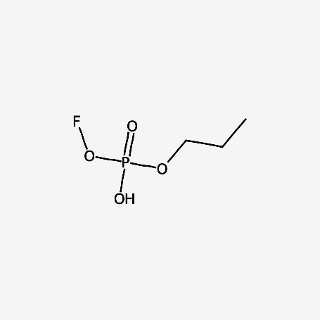 CCCOP(=O)(O)OF